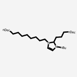 CCCCCCCCCCCCCCCCCCN1C=CN(CCCC)C1CCCCCCCCCCCCC